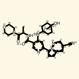 CC(NC(=O)c1cnc(-c2ccc3cc(C#N)cnn23)cc1NC12CCC(O)(CC1)CC2)C(=O)N1CCOCC1